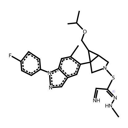 CN/N=C(\C=N)SN1CC2C(COC(C)C)C2(c2cc3cnn(-c4ccc(F)cc4)c3cc2C)C1